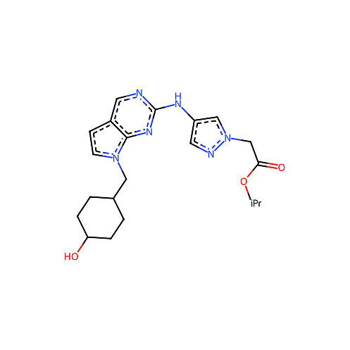 CC(C)OC(=O)Cn1cc(Nc2ncc3ccn(CC4CCC(O)CC4)c3n2)cn1